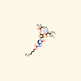 CCCCCOC(=O)Nc1ccn([C@@H]2O[C@H](COC(=O)C(C)C)[C@@H](OC(=O)C(N)C(C)C)C2(F)F)c(=O)n1